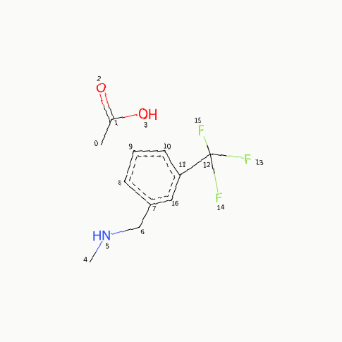 CC(=O)O.CNCc1cccc(C(F)(F)F)c1